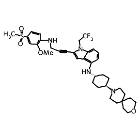 COc1cc(S(C)(=O)=O)ccc1NCC#Cc1cc2c(N[C@H]3CC[C@H](N4CCC5(CCOCC5)CC4)CC3)cccc2n1CC(F)(F)F